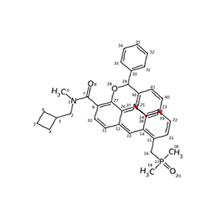 CN(CC1CCC1)C(=O)c1ccc2cc3c(CP(C)(C)=O)ccnc3nc2c1OC(c1ccccc1)c1ccccc1